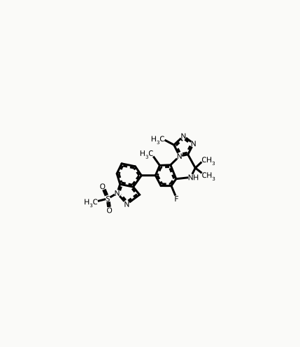 Cc1c(-c2cccc3c2cnn3S(C)(=O)=O)cc(F)c2c1-n1c(C)nnc1C(C)(C)N2